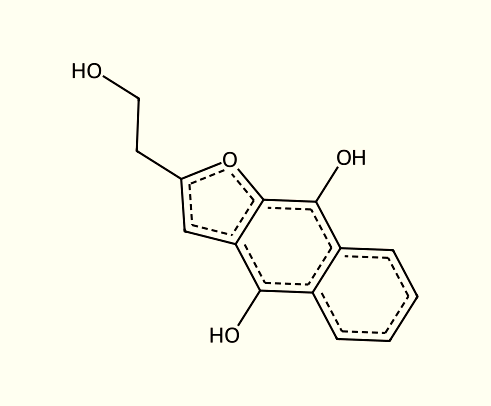 OCCc1cc2c(O)c3ccccc3c(O)c2o1